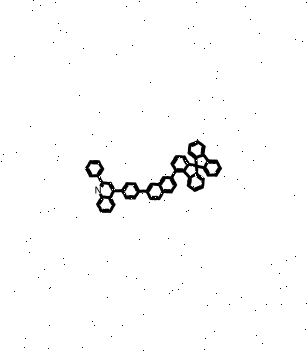 c1ccc(-c2cc(-c3ccc(-c4ccc5ccc(-c6cccc7c6-c6ccccc6C76c7ccccc7-c7ccccc76)cc5c4)cc3)c3ccccc3n2)cc1